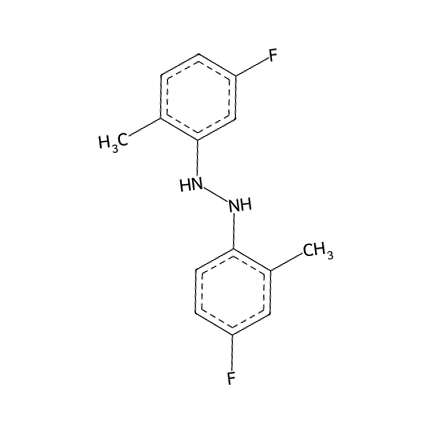 Cc1cc(F)ccc1NNc1cc(F)ccc1C